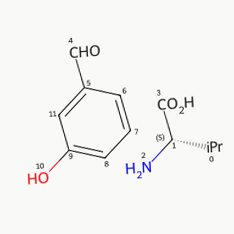 CC(C)[C@H](N)C(=O)O.O=Cc1cccc(O)c1